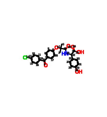 CC(C)(Oc1ccc(C(=O)c2ccc(Cl)cc2)cc1)C(=O)NC(C(=O)O)c1ccc(O)cc1